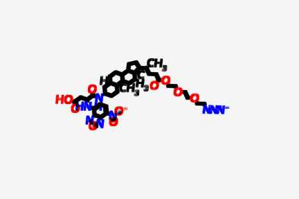 CC(CCC(=O)OCCOCCOCCN=[N+]=[N-])C1CCC2C3CC[C@@H]4C[C@H](NC(=O)C(CC(=O)O)Nc5ccc([N+](=O)[O-])c6nonc56)CC[C@]4(C)C3CC[C@]12C